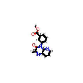 COC(=O)c1cccc(-n2c(=O)c(C)nc3cccnc32)c1